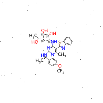 Cc1nc(N[C@H](C)c2ccc(OC(F)(F)F)cc2)nc(N[C@@H]2C[C@H](C(C)O)[C@@H](O)[C@H]2O)c1-c1nc2ccccc2s1